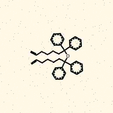 C=CCCCCC(OC(CCCCC=C)(c1ccccc1)c1ccccc1)(c1ccccc1)c1ccccc1